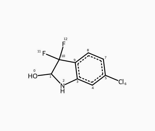 OC1Nc2cc(Cl)ccc2C1(F)F